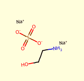 NCCO.O=S(=O)([O-])[O-].[Na+].[Na+]